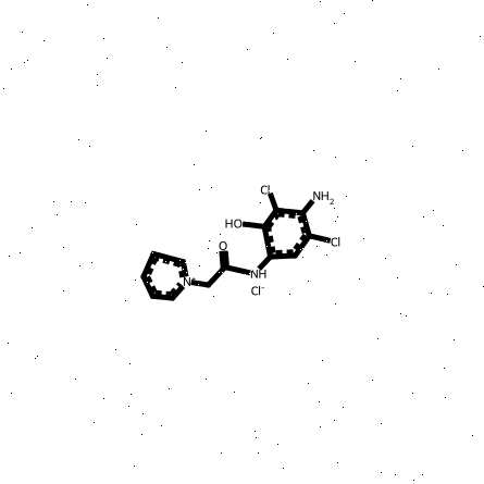 Nc1c(Cl)cc(NC(=O)C[n+]2ccccc2)c(O)c1Cl.[Cl-]